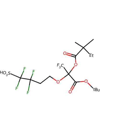 CCC(C)(C)C(=O)OC(OCCC(F)(F)C(F)(F)S(=O)(=O)O)(C(=O)OC(C)(C)C)C(F)(F)F